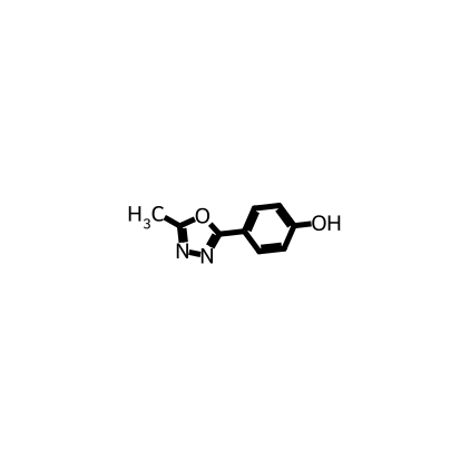 Cc1nnc(-c2ccc(O)cc2)o1